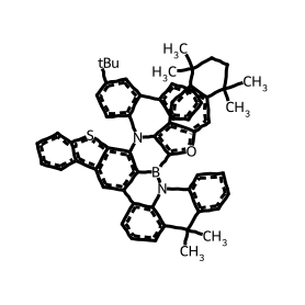 CC(C)(C)c1ccc(N2c3c(oc4cc5c(cc34)C(C)(C)CCC5(C)C)B3c4c(cc5c(sc6ccccc65)c42)-c2cccc4c2N3c2ccccc2C4(C)C)c(-c2ccccc2)c1